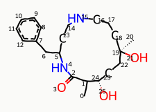 CC1C(=O)NC(Cc2ccccc2)CCNCCC[C@@](C)(O)CC[C@@H]1O